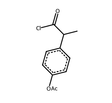 CC(=O)Oc1ccc(C(C)C(=O)Cl)cc1